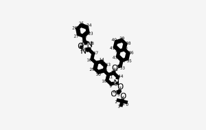 CC(C)(C)OC(=O)ON1CCC(c2ccc(CCc3noc(-c4ccccc4)n3)cc2)C(OCc2ccc3ccccc3c2)C1